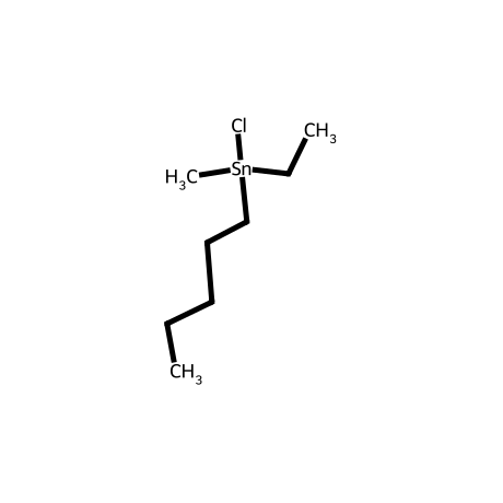 CCCC[CH2][Sn]([CH3])([Cl])[CH2]C